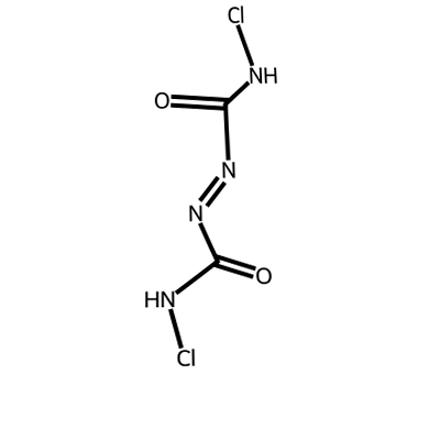 O=C(/N=N/C(=O)NCl)NCl